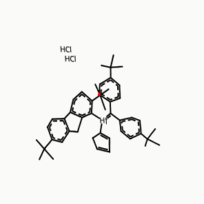 CC(C)(C)c1ccc([C](c2ccc(C(C)(C)C)cc2)=[Hf]([C]2=CC=CC2)[c]2c(C(C)(C)C)ccc3c2Cc2cc(C(C)(C)C)ccc2-3)cc1.Cl.Cl